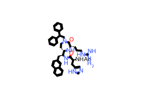 CC(=O)N[C@@H](Cc1cnc[nH]1)C(=O)N[C@@H](Cc1ccc2ccccc2c1)[C@@H]1CCN(CC(c2ccccc2)c2ccccc2)C(=O)[C@H](CCCNC(=N)N)N1